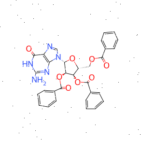 Nc1nc2c(ncn2[C@@H]2O[C@H](COC(=O)c3ccccc3)[C@@H](OC(=O)c3ccccc3)[C@H]2OC(=O)c2ccccc2)c(=O)[nH]1